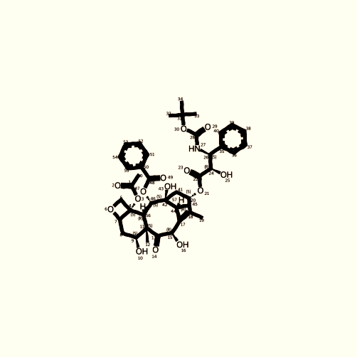 CC(=O)O[C@@]12COC1C[C@H](O)[C@@]1(C)C(=O)[C@H](O)C3=C(C)[C@@H](OC(=O)[C@H](O)[C@@H](NC(=O)OC(C)(C)C)c4ccccc4)C[C@](O)([C@@H]3C)[C@@H](OC(=O)c3ccccc3)[C@@H]12